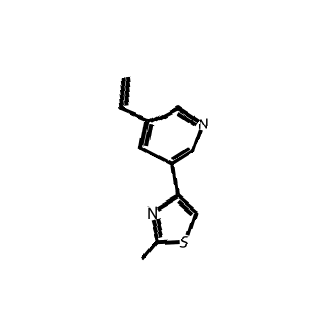 C=Cc1cncc(-c2csc(C)n2)c1